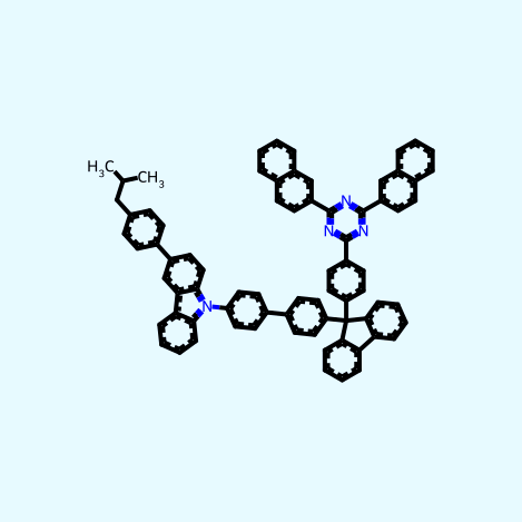 CC(C)Cc1ccc(-c2ccc3c(c2)c2ccccc2n3-c2ccc(-c3ccc(C4(c5ccc(-c6nc(-c7ccc8ccccc8c7)nc(-c7ccc8ccccc8c7)n6)cc5)c5ccccc5-c5ccccc54)cc3)cc2)cc1